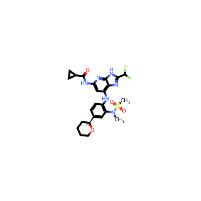 CN(c1cc([C@@H]2CCCCO2)ccc1Nc1cc(NC(=O)C2CC2)nc2[nH]c(C(F)F)nc12)S(C)(=O)=O